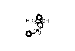 CSc1ccccc1C1(O)CCN(C(=O)OCc2ccccc2)CC1